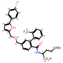 CSCCC(NC(=O)c1ccc(COCc2ccc(-c3ccc(F)cc3)o2)cc1-c1ccccc1C(F)(F)F)C(=O)O